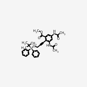 COC(=O)c1cc(NC(C)=O)cc(NC(C)=O)c1C#CCO[Si](c1ccccc1)(c1ccccc1)C(C)(C)C